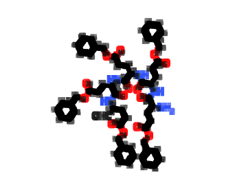 N[C@H](CCC(=O)OCc1ccccc1)C(=O)N[C@H](CCC(=O)OCc1ccccc1)C(=O)N[C@H](CCC(=O)OCc1ccccc1)C(=O)N[C@H](CCC(=O)OCc1ccccc1)C(=O)N[C@@H](C=O)CCC(=O)OCc1ccccc1